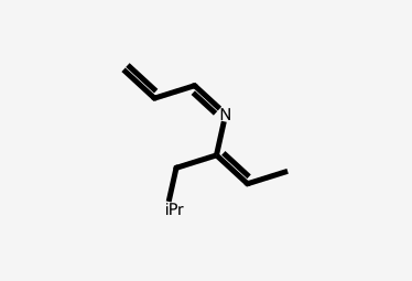 C=C/C=N\C(=C/C)CC(C)C